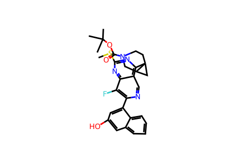 CSc1nc(C23CCN(C(=O)OC(C)(C)C)CC2C3)c2cnc(-c3cc(O)cc4ccccc34)c(F)c2n1